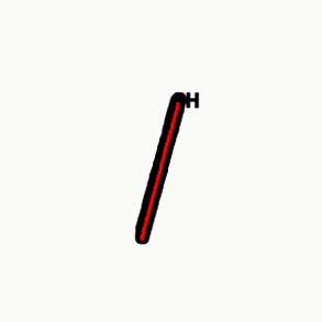 O=COOOOOOOOOOOOOOOOOOOOOOOOOOOOOOOOOOOOOOOOOOOOOOOOOOOOOOOOOOOOOOOOOOO